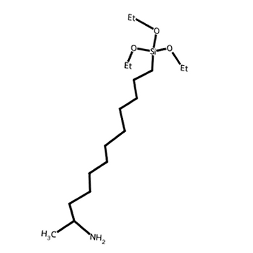 CCO[Si](CCCCCCCCCCC(C)N)(OCC)OCC